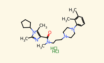 Cc1cccc(N2CCN(CCCN(C)C(=O)c3nc(C)n(C4CCCC4)c3C)CC2)c1C.Cl.Cl